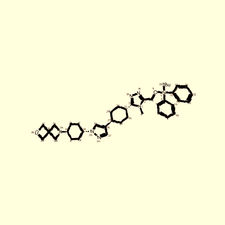 Cn1c(CO[Si](c2ccccc2)(c2ccccc2)C(C)(C)C)nnc1[C@H]1CC[C@H](c2cnn([C@H]3CC[C@H](N4CC5(COC5)C4)CC3)c2)CC1